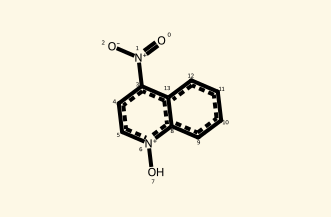 O=[N+]([O-])c1cc[n+](O)c2ccccc12